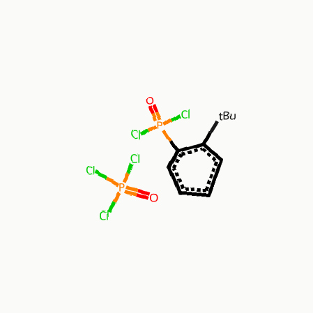 CC(C)(C)c1ccccc1P(=O)(Cl)Cl.O=P(Cl)(Cl)Cl